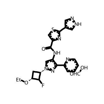 CCO[C@@H]1C[C@H](n2cc(NC(=O)c3csc(-c4cn[nH]c4)n3)c(-c3ccccn3)n2)C1F.O=CO